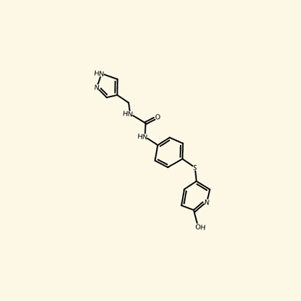 O=C(NCc1cn[nH]c1)Nc1ccc(Sc2ccc(O)nc2)cc1